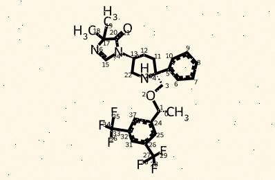 C[C@@H](OC[C@@]1(c2ccccc2)CC[C@H](N2C=NC(C)(C)C2=O)CN1)c1cc(C(F)(F)F)cc(C(F)(F)F)c1